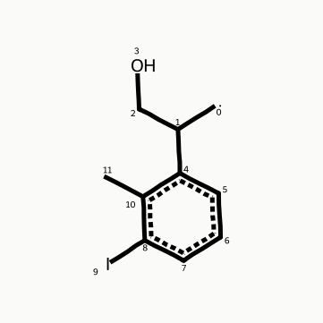 [CH2]C(CO)c1cccc(I)c1C